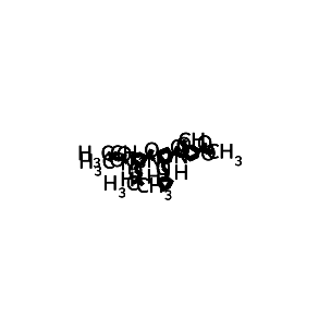 COC(=O)c1ccc(NC(=O)c2ccc(NC(=O)c3ccc(NC(=O)OC(C)(C)C)c(OCC(C)C)c3)c(OCc3ccccc3)c2)c(OC)c1